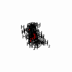 CSCC[C@H](NC(=O)[C@H](CO)NC(=O)[C@H](Cc1ccc(O)cc1)NC(=O)[C@H](C)NC(=O)[C@H](CO)NC(=O)[C@H](CC(C)C)NC(=O)[C@H](CO)NC(=O)[C@H](Cc1ccccc1)NC(=O)CNC(=O)[C@H](CO)NC(=O)[C@H](C)NC(=O)[C@@H](NC(=O)[C@H](CS)NC(=O)[C@@H](N)[C@@H](C)O)[C@@H](C)O)C(=O)N[C@@H](CO)C(=O)N[C@@H](Cc1c[nH]c2ccccc12)C(=O)N[C@H](C(=O)N[C@@H](CCCNC(=N)N)C(=O)N[C@@H](CCC(N)=O)C(=O)N[C@@H](C)C(=O)O)C(C)C